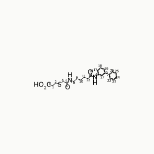 O=C(O)CCSCC(=O)NCCCCCC(=O)Nc1cccc(-c2ccccc2)c1